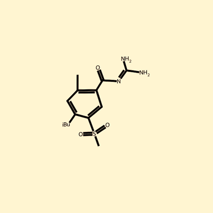 CCC(C)c1cc(C)c(C(=O)N=C(N)N)cc1S(C)(=O)=O